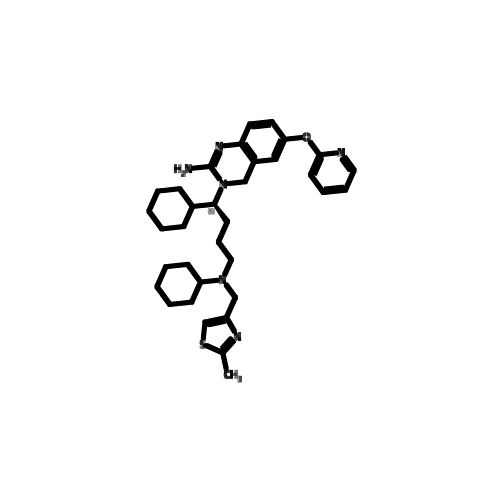 Cc1nc(CN(CCC[C@@H](C2CCCCC2)N2Cc3cc(Oc4ccccn4)ccc3N=C2N)C2CCCCC2)cs1